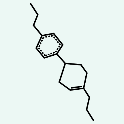 CCCC1=CCC(c2ccc(CCC)cc2)CC1